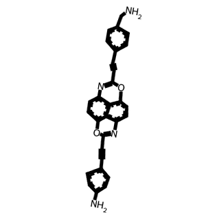 NCc1ccc(C#CC2=Nc3ccc4c5c(ccc(c35)O2)N=C(C#Cc2ccc(N)cc2)O4)cc1